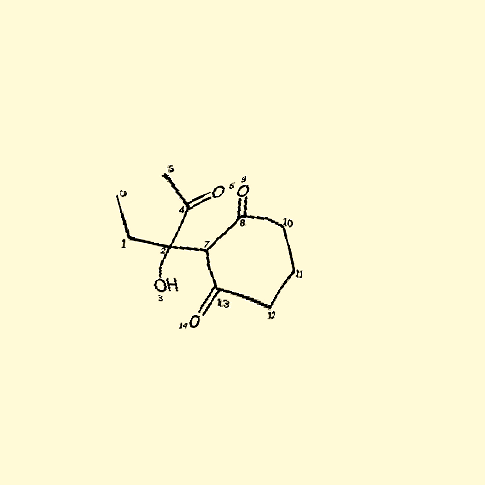 CCC(O)(C(C)=O)C1C(=O)CCCC1=O